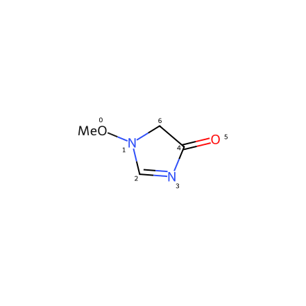 CON1C=NC(=O)C1